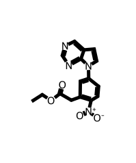 CCOC(=O)Cc1cc(-n2ccc3cncnc32)ccc1[N+](=O)[O-]